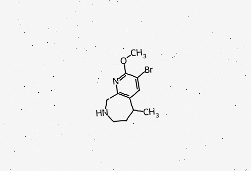 COc1nc2c(cc1Br)C(C)CCNC2